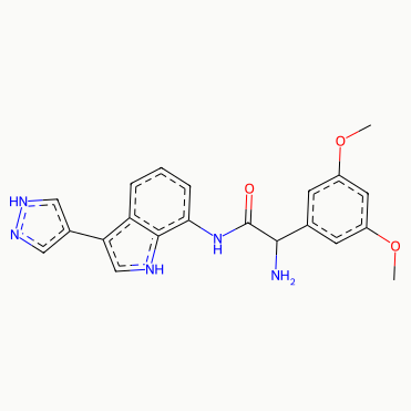 COc1cc(OC)cc(C(N)C(=O)Nc2cccc3c(-c4cn[nH]c4)c[nH]c23)c1